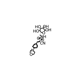 N#C/C(=C\c1ccc(N2CCOCC2)cc1)S(=O)(=O)NC[C@H]1OC(O)[C@H](O)[C@@H](O)[C@@H]1O